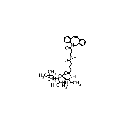 CC(C)C(NC(=O)CCCC(=O)NCCC(=O)N1Cc2ccccc2C#Cc2ccccc21)C(=O)N[C@@H](C)C(=O)NCC(C)(C)C